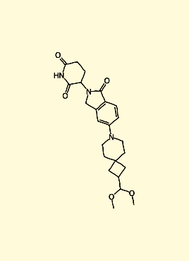 COC(OC)C1CC2(CCN(c3ccc4c(c3)CN(C3CCC(=O)NC3=O)C4=O)CC2)C1